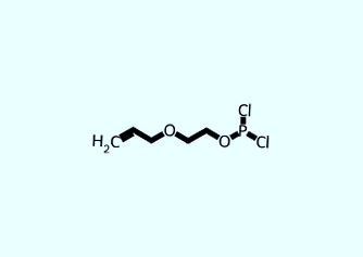 C=CCOCCOP(Cl)Cl